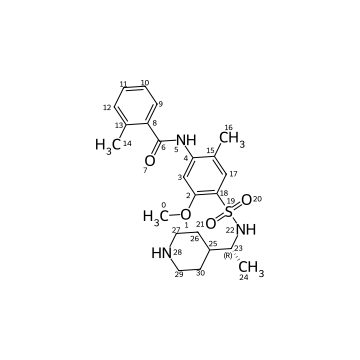 COc1cc(NC(=O)c2ccccc2C)c(C)cc1S(=O)(=O)N[C@H](C)C1CCNCC1